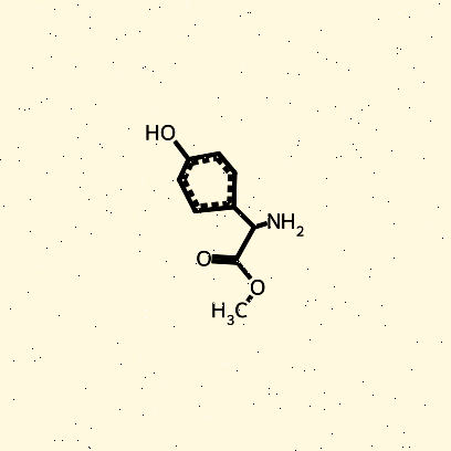 COC(=O)C(N)c1ccc(O)cc1